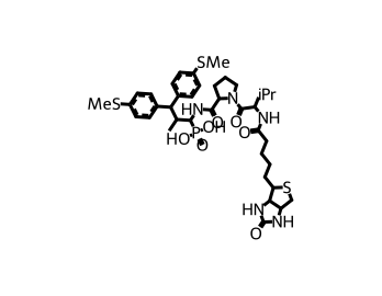 CSc1ccc(C(c2ccc(SC)cc2)C(C)C(NC(=O)C2CCCN2C(=O)C(NC(=O)CCCCC2SCC3NC(=O)NC32)C(C)C)P(=O)(O)O)cc1